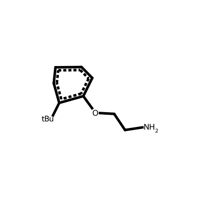 CC(C)(C)c1ccccc1OCCN